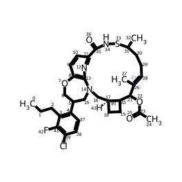 CCCc1c(C2COc3ccc4nc3N(C2)C[C@@H]2CCC2C(OC(C)=O)/C(C)=C/CCC(C)SNC4=O)ccc(Cl)c1F